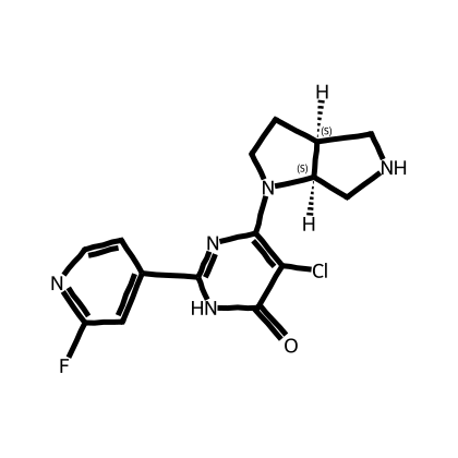 O=c1[nH]c(-c2ccnc(F)c2)nc(N2CC[C@H]3CNC[C@H]32)c1Cl